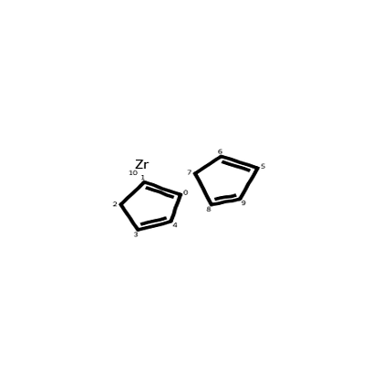 C1=CCC=C1.C1=CCC=C1.[Zr]